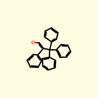 [O]C=C(c1ccccc1)C(c1ccccc1)(c1ccccc1)c1ccccc1